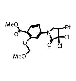 CCC1CN(c2ccc(C(=O)OC)c(OCOC)c2)C(=O)C1(Cl)Cl